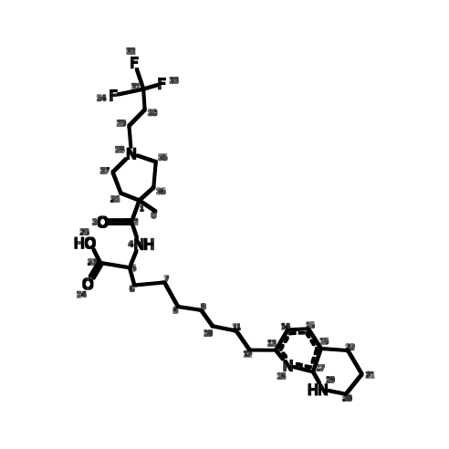 CC1(C(=O)NC(CCCCCCCc2ccc3c(n2)NCCC3)C(=O)O)CCN(CCC(F)(F)F)CC1